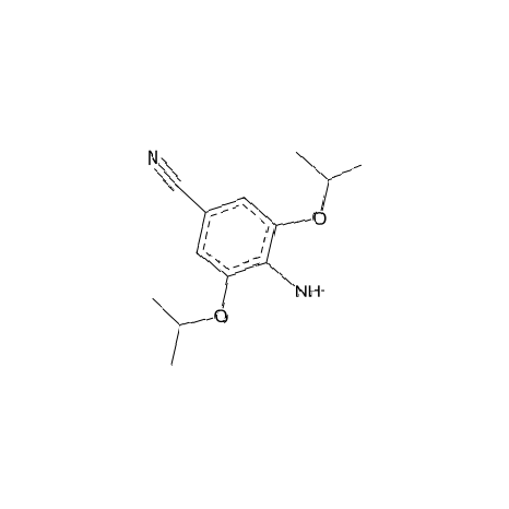 CC(C)Oc1cc(C#N)cc(OC(C)C)c1[NH]